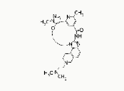 Cc1cc2cc(n1)-c1cnn(C)c1OCCCCCn1c(nc3ccc4c(c31)CCN(CCN(C)C)C4)NC2=O